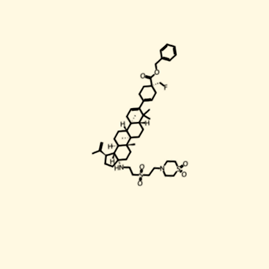 C=C(C)[C@@H]1CC[C@]2(NCCS(=O)(=O)CCN3CCS(=O)(=O)CC3)CC[C@]3(C)[C@H](CC[C@@H]4[C@@]5(C)CC=C(C6=CC[C@](CF)(C(=O)OCc7ccccc7)CC6)C(C)(C)[C@@H]5CC[C@]43C)[C@@H]12